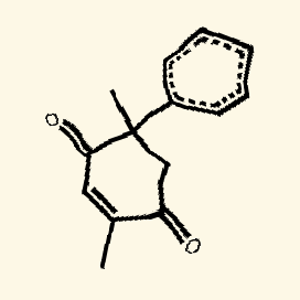 CC1=CC(=O)C(C)(c2ccccc2)CC1=O